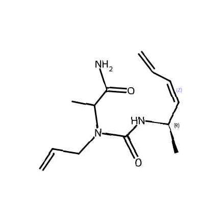 C=C/C=C\[C@@H](C)NC(=O)N(CC=C)C(C)C(N)=O